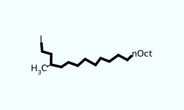 CCCCCCCCCCCCCCCCC[C@H](C)CCI